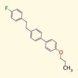 CCCOc1ccc(-c2ccc(CCc3ccc(F)cc3)cc2)cc1